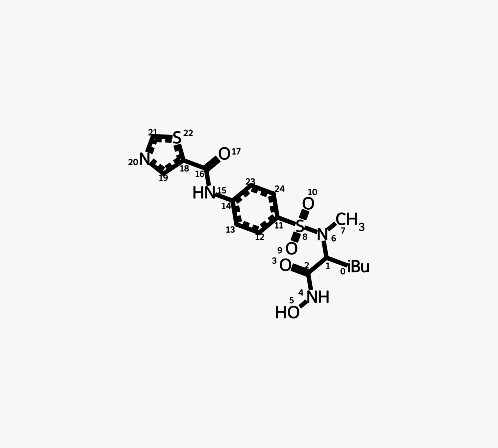 CCC(C)C(C(=O)NO)N(C)S(=O)(=O)c1ccc(NC(=O)c2cncs2)cc1